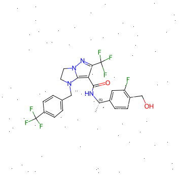 C[C@H](NC(=O)c1c(C(F)(F)F)nn2c1N(Cc1ccc(C(F)(F)F)cc1)CC2)c1ccc(CO)c(F)c1